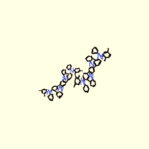 Cc1ccc(N(c2ccccc2)c2ccc3c4cc5c(cc4n4c6ccccc6c2c34)c2ccc(N(c3ccccc3)c3ccc(C)cc3Cc3cc(C)cc(N(c4ccccc4)c4ccc6c7cc8c(cc7n7c9ccccc9c4c67)c4ccc(N(c6ccccc6)c6cc(C)ccc6C)c6c7ccccc7n8c46)c3C)c3c4ccccc4n5c23)c(C)c1